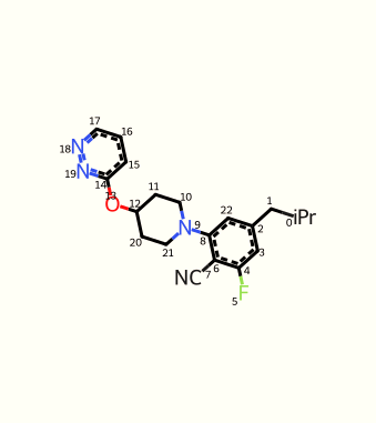 CC(C)Cc1cc(F)c(C#N)c(N2CCC(Oc3cccnn3)CC2)c1